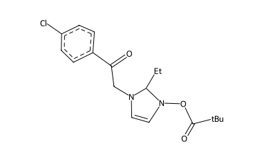 CCC1N(CC(=O)c2ccc(Cl)cc2)C=CN1OC(=O)C(C)(C)C